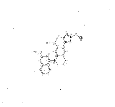 CCOC(=O)c1cc2cccnc2c(N2CCCc3cc(-c4cnn(CC#N)c4)c(C(F)F)cc32)n1